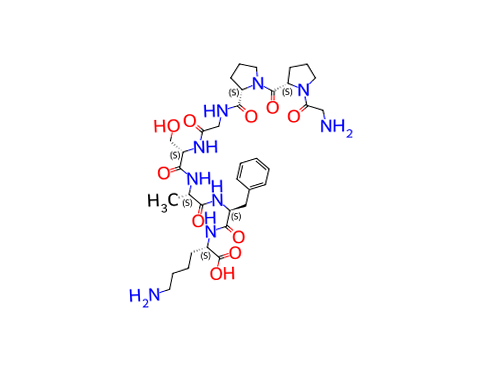 C[C@H](NC(=O)[C@H](CO)NC(=O)CNC(=O)[C@@H]1CCCN1C(=O)[C@@H]1CCCN1C(=O)CN)C(=O)N[C@@H](Cc1ccccc1)C(=O)N[C@@H](CCCCN)C(=O)O